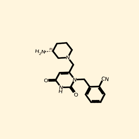 N#Cc1ccccc1Cn1c(CN2CCC[C@@H](N)C2)cc(=O)[nH]c1=O